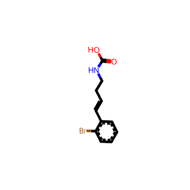 O=C(O)NCCC=Cc1ccccc1Br